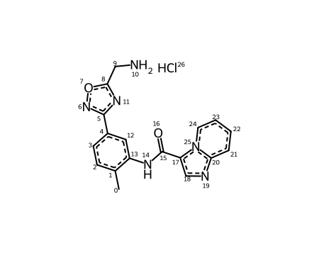 Cc1ccc(-c2noc(CN)n2)cc1NC(=O)c1cnc2ccccn12.Cl